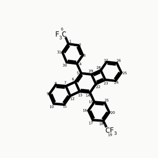 FC(F)(F)c1ccc(-c2c3c4ccccc4c3c(-c3ccc(C(F)(F)F)cc3)c3c4ccccc4c23)cc1